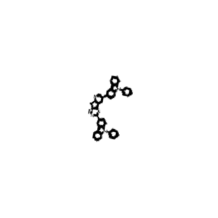 c1ccc(-n2c3ccccc3c3cc(-c4cnc5c(c4)-c4nc(-c6ccc7c(c6)c6ccccc6n7-c6ccccc6)nnc4C5)ccc32)cc1